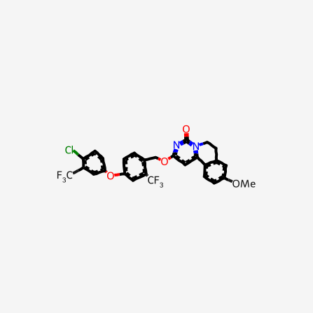 COc1ccc2c(c1)CCn1c-2cc(OCc2ccc(Oc3ccc(Cl)c(C(F)(F)F)c3)cc2C(F)(F)F)nc1=O